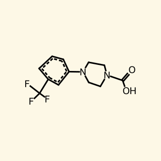 O=C(O)N1CCN(c2cccc(C(F)(F)F)c2)CC1